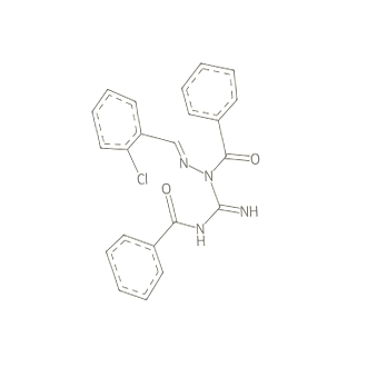 N=C(NC(=O)c1ccccc1)N(/N=C/c1ccccc1Cl)C(=O)c1ccccc1